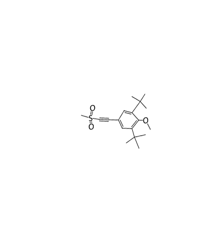 COc1c(C(C)(C)C)cc(C#CS(C)(=O)=O)cc1C(C)(C)C